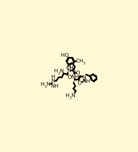 Cc1cc(O)cc(C)c1CC(NC(=O)C(N)CCCNC(=N)N)C(=O)N[C@@H](CCCCN)C1=CN(Cc2ccccc2)NO1